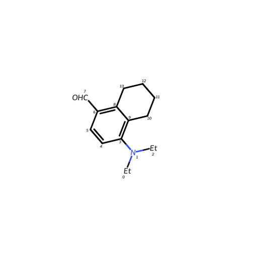 CCN(CC)c1ccc(C=O)c2c1CCCC2